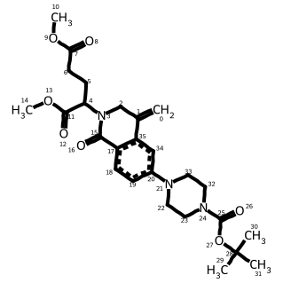 C=C1CN(C(CCC(=O)OC)C(=O)OC)C(=O)c2ccc(N3CCN(C(=O)OC(C)(C)C)CC3)cc21